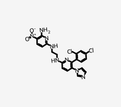 Nc1nc(NCCNc2ccc(-n3ccnc3)c(-c3ccc(Cl)cc3Cl)n2)ccc1[N+](=O)[O-]